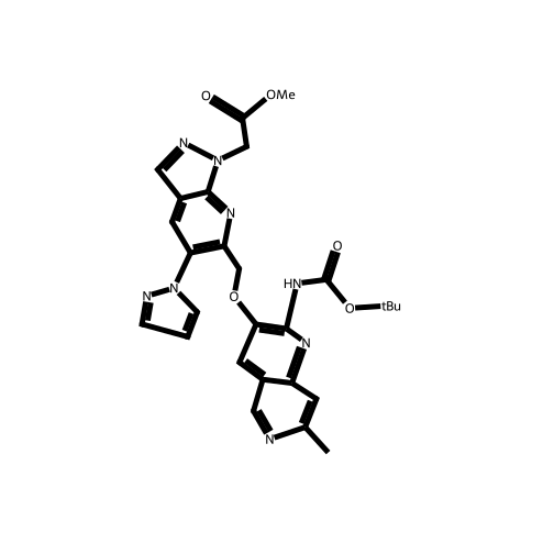 COC(=O)Cn1ncc2cc(-n3cccn3)c(COc3cc4cnc(C)cc4nc3NC(=O)OC(C)(C)C)nc21